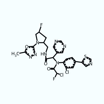 Cc1nnc(N2CC(F)CC2CNC(=O)C(c2cncnc2)N(C(=O)C(F)Cl)c2ccc(-c3cncs3)cc2Cl)o1